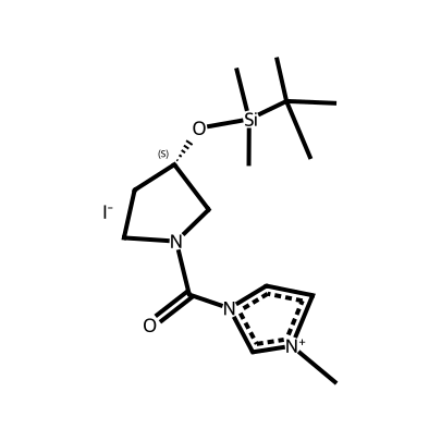 C[n+]1ccn(C(=O)N2CC[C@H](O[Si](C)(C)C(C)(C)C)C2)c1.[I-]